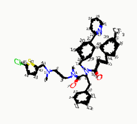 CN(CCN(C)C(=O)C(Cc1ccccc1)N(Cc1ccc(-c2ccccn2)cc1)C(=O)C=Cc1ccc(C(F)(F)F)cc1)Cc1ccc(Cl)s1